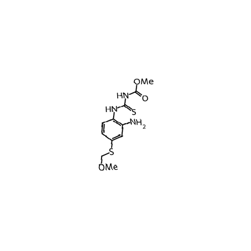 COCSc1ccc(NC(=S)NC(=O)OC)c(N)c1